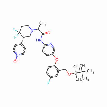 CC(C(=O)Nc1ccc(Oc2ccc(F)cc2CO[Si](C)(C)C(C)(C)C)cn1)N1CCC(F)(F)[C@@H](c2cc[n+]([O-])cc2)C1